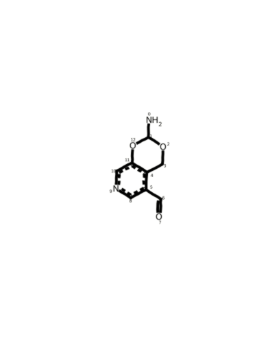 NC1OCc2c(C=O)cncc2O1